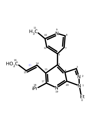 CCn1ncc2c(-c3ccnc(C)c3)c(/C=C/C(=O)O)c(C(C)C)nc21